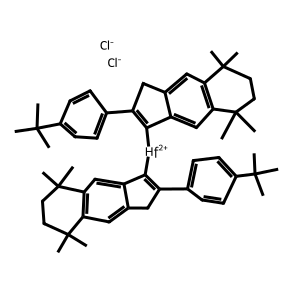 CC(C)(C)c1ccc(C2=[C]([Hf+2][C]3=C(c4ccc(C(C)(C)C)cc4)Cc4cc5c(cc43)C(C)(C)CCC5(C)C)c3cc4c(cc3C2)C(C)(C)CCC4(C)C)cc1.[Cl-].[Cl-]